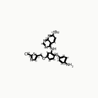 CC(C)(C)c1ccc2c(Nc3cc(OCc4cnc(Cl)s4)ccc3Sc3ccc(N)cc3)ncnc2n1